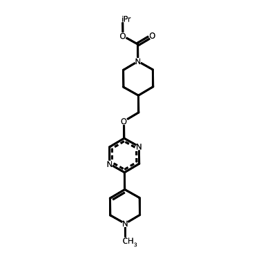 CC(C)OC(=O)N1CCC(COc2cnc(C3=CCN(C)CC3)cn2)CC1